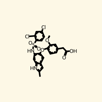 COc1cc(CC(=O)O)ccc1Oc1cc2cc(C)[nH]c2cc1NS(=O)(=O)c1ccc(Cl)cc1Cl